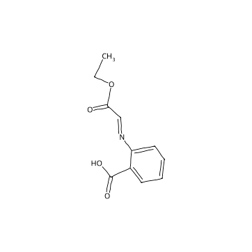 CCOC(=O)C=Nc1ccccc1C(=O)O